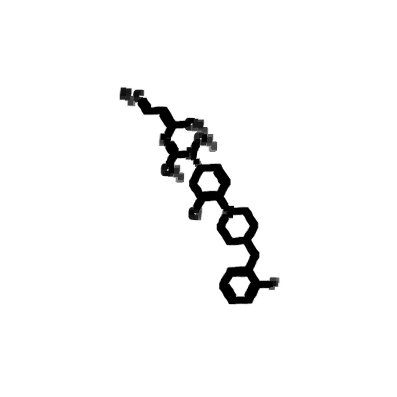 C=C/C=C(C)\N=C(\C)N(C)[C@@H]1C=CC(N2CCC(Cc3ccccc3F)CC2)=C(Cl)C1